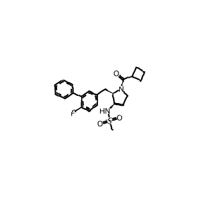 CS(=O)(=O)N[C@@H]1CCN(C(=O)C2CCC2)[C@@H]1Cc1ccc(F)c(-c2ccccc2)c1